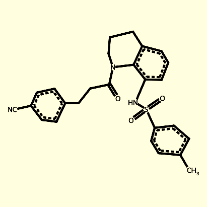 Cc1ccc(S(=O)(=O)Nc2cccc3c2N(C(=O)CCc2ccc(C#N)cc2)CCC3)cc1